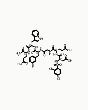 NC(=O)[C@H](CCC(=O)O)NC(=O)[C@H](Cc1c[nH]c2ccccc12)NC(=O)[C@H](Cc1cccc(F)c1)NC(=O)CNC(=O)[C@H](CCC(=O)O)NC(=O)[C@@H](CC(=O)O)NS(=O)(=O)c1ccc(Cl)cc1Cl